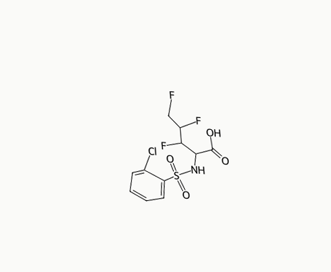 O=C(O)C(NS(=O)(=O)c1ccccc1Cl)C(F)C(F)CF